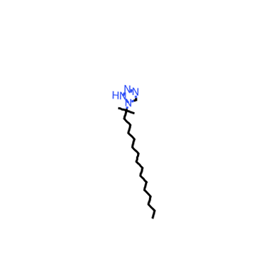 CCCCCCCCCCCCCCCC(C)(C)N1CN=NN1